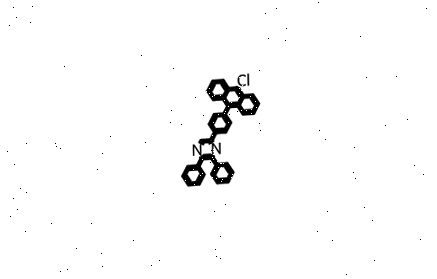 Clc1c2ccccc2c(-c2ccc(-c3cnc(-c4ccccc4)c(-c4ccccc4)n3)cc2)c2ccccc12